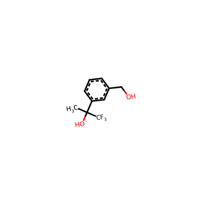 CC(O)(c1cccc(CO)c1)C(F)(F)F